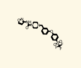 O=C(Nc1ccon1)N1CCN(Cc2cccc(Oc3ccc(S(=O)(=O)C(F)(F)F)cc3)c2)CC1